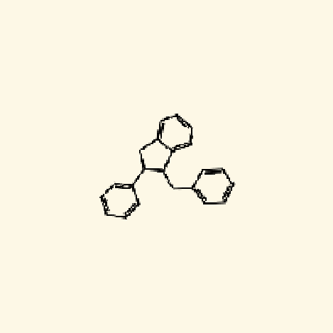 c1ccc(CC2c3ccccc3CC2c2ccccc2)cc1